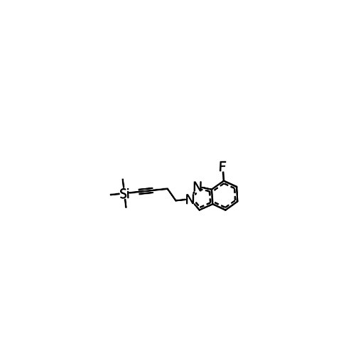 C[Si](C)(C)C#CCCn1cc2cccc(F)c2n1